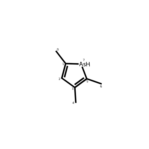 CC1=CC(C)=C(C)[AsH]1